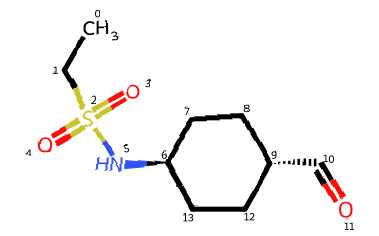 CCS(=O)(=O)N[C@H]1CC[C@H](C=O)CC1